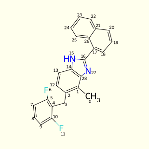 Cc1c(Cc2c(F)cccc2F)ccc2[nH]c(-c3cccc4ccccc34)nc12